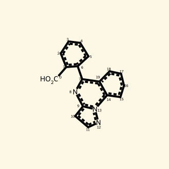 O=C(O)c1ccccc1-c1nc2ccnn2c2ccccc12